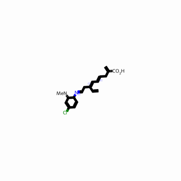 C=C/C(=C\C=C\CC(=C)C(=O)O)C/C=N/C1C=CC(Cl)=CC1NC